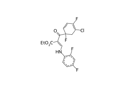 CCOC(=O)/C(=C\Nc1ccc(F)cc1F)C(=O)C1(F)C=CC(F)=C(Cl)C1